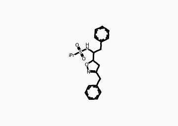 CC(C)S(=O)(=O)NC(Cc1ccccc1)C1CC(Cc2ccccc2)=NO1